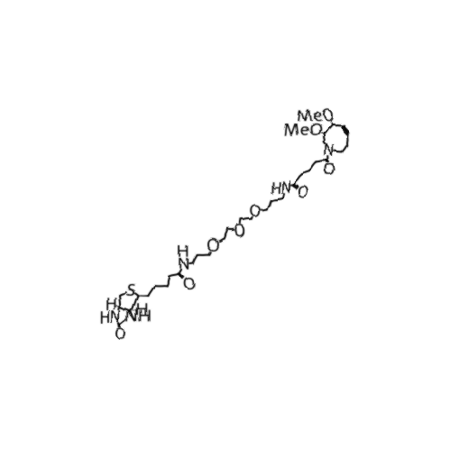 CO[C@H]1C#CCCN(C(=O)CCCC(=O)NCCCOCCOCCOCCCNC(=O)CCCC[C@@H]2SC[C@@H]3NC(=O)N[C@@H]32)C[C@@H]1OC